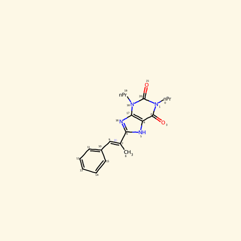 CCCn1c(=O)c2[nH]c(/C(C)=C/c3ccccc3)nc2n(CCC)c1=O